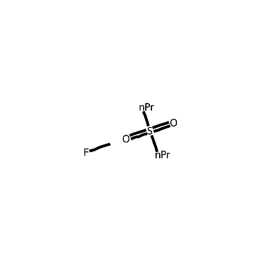 CCCS(=O)(=O)CCC.CF